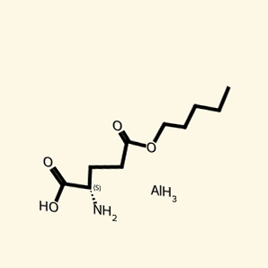 CCCCCOC(=O)CC[C@H](N)C(=O)O.[AlH3]